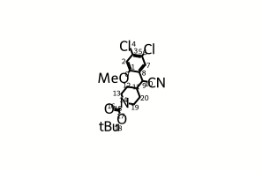 COc1cc(Cl)c(Cl)cc1C(C#N)C1CCN(C(=O)OC(C)(C)C)CC1